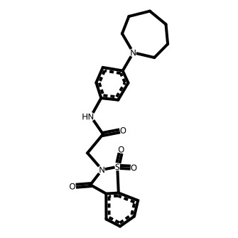 O=C(CN1C(=O)c2ccccc2S1(=O)=O)Nc1ccc(N2CCCCCC2)cc1